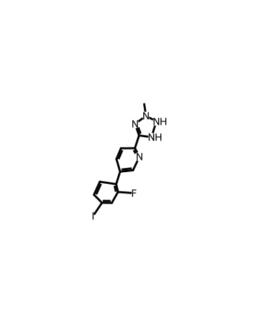 CN1N=C(c2ccc(-c3ccc(I)cc3F)cn2)NN1